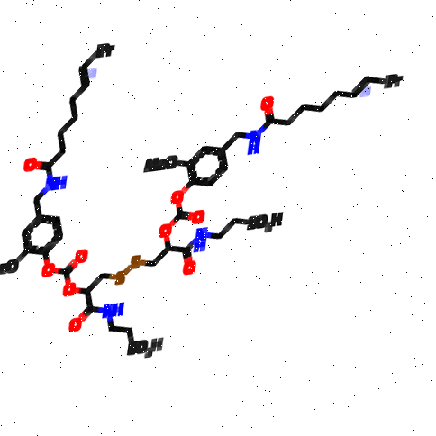 COc1cc(CNC(=O)CCCC/C=C/C(C)C)ccc1OC(=O)OC(CSSCC(OC(=O)Oc1ccc(CNC(=O)CCCC/C=C/C(C)C)cc1OC)C(=O)NCCS(=O)(=O)O)C(=O)NCCS(=O)(=O)O